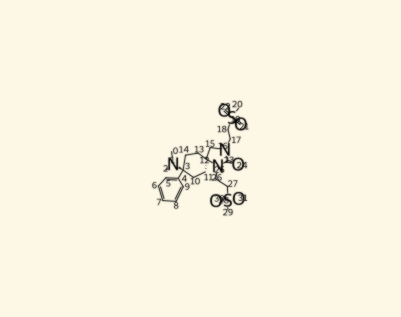 CN(C)[C@]1(c2ccccc2)CC[C@]2(CC1)CN(CCS(C)(=O)=O)C(=O)N2CCS(C)(=O)=O